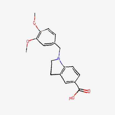 COc1ccc(CN2CCc3cc(C(=O)O)ccc32)cc1OC